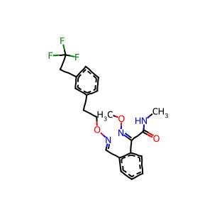 CNC(=O)C(=NOC)c1ccccc1C=NOCCc1cccc(CC(F)(F)F)c1